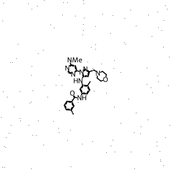 CNc1cc(-n2nc(CN3CCOCC3)cc2Nc2cc(NC(=O)c3cccc(C)c3)ccc2C)ncn1